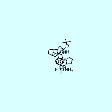 CC(C)(C)OC(=O)N[C@H](C(=O)N1CSC[C@@H]1C(N)=O)C1CC2CCC(C1)N2C(=O)c1ccc(C(F)(F)F)cc1